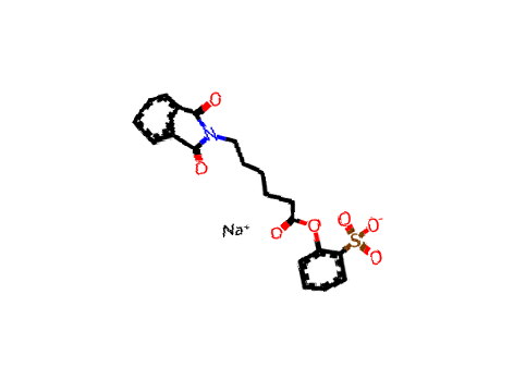 O=C(CCCCCN1C(=O)c2ccccc2C1=O)Oc1ccccc1S(=O)(=O)[O-].[Na+]